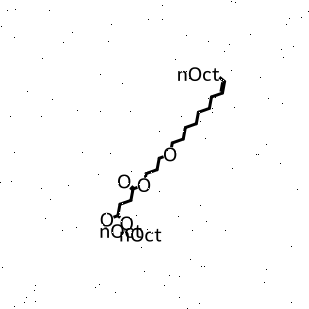 CCCCCCCC/C=C\CCCCCCCOCCCOC(=O)CCC(OCCCCCCCC)OCCCCCCCC